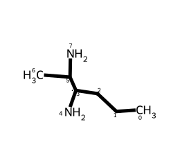 CCC[C](N)C(C)N